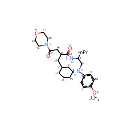 CCCC(CNc1ccc(OC(F)(F)F)cc1)NC(=O)C(CC(=O)N1CCOCC1)CC1CCCCC1